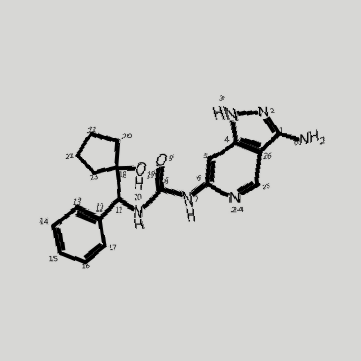 Nc1n[nH]c2cc(NC(=O)NC(c3ccccc3)C3(O)CCCC3)ncc12